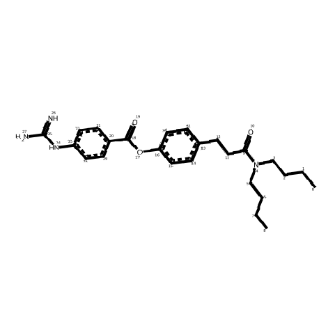 CCCCN(CCCC)C(=O)CCc1ccc(OC(=O)c2ccc(NC(=N)N)cc2)cc1